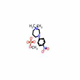 COS(=O)(=O)[O-].C[N+]1(C)CCCN(c2ccc([N+](=O)[O-])cc2)CC1